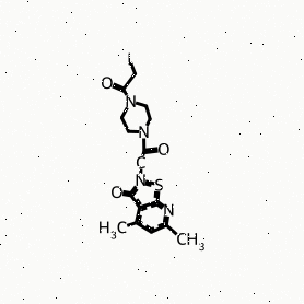 Cc1cc(C)c2c(=O)n(CC(=O)N3CCN(C(=O)CI)CC3)sc2n1